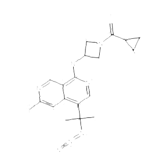 CC(C)(N=[N+]=[N-])c1cnc(NC2CN(C(=O)C3CC3)C2)c2cnc(Cl)cc12